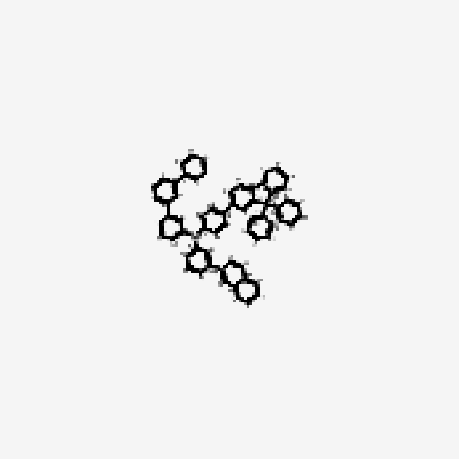 c1ccc(-c2cccc(-c3cccc(N(c4ccc(-c5ccc6c(c5)C(c5ccccc5)(c5ccccc5)c5ccccc5-6)cc4)c4cccc(-c5ccc6ccccc6c5)c4)c3)c2)cc1